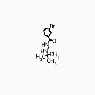 CC(C)(C)NCNC(=O)c1cccc(Br)c1